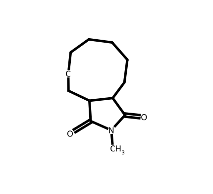 CN1C(=O)C2CCCCCCCC2C1=O